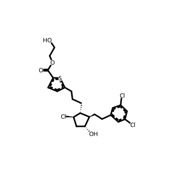 O=C(OCCO)c1ccc(CCC[C@@H]2[C@@H](CCc3cc(Cl)cc(Cl)c3)[C@H](O)C[C@H]2Cl)s1